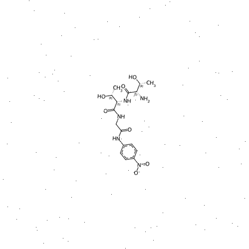 C[C@@H](O)[C@H](N)C(=O)N[C@H](C(=O)NCC(=O)Nc1ccc([N+](=O)[O-])cc1)[C@@H](C)O